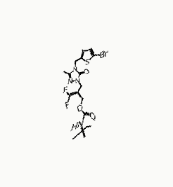 Cc1nn(CC(COC(=O)NC(C)(C)C)=C(F)F)c(=O)n1Cc1ccc(Br)s1